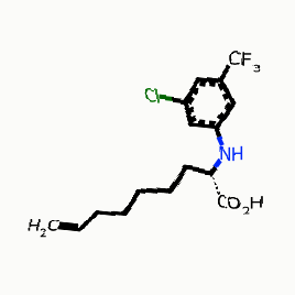 C=CCCCCC[C@H](Nc1cc(Cl)cc(C(F)(F)F)c1)C(=O)O